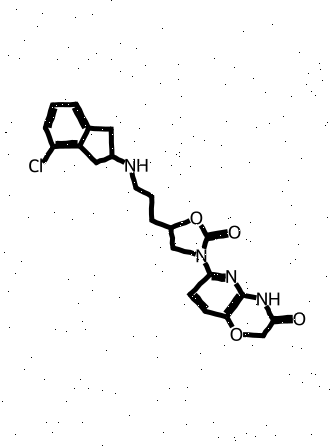 O=C1COc2ccc(N3CC(CCCNC4Cc5cccc(Cl)c5C4)OC3=O)nc2N1